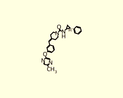 Cc1cnc(Oc2cccc(C=C3CCN(C(=O)NC4C[C@@H]4c4ccccc4)CC3)c2)cn1